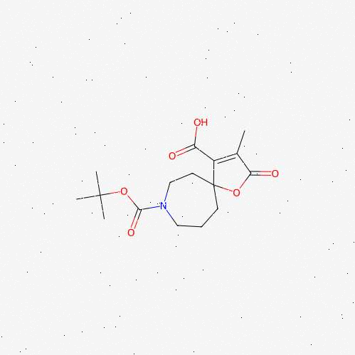 CC1=C(C(=O)O)C2(CCCN(C(=O)OC(C)(C)C)CC2)OC1=O